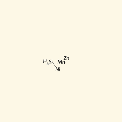 [Mn].[SiH3][Ni].[Zn]